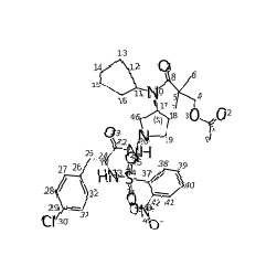 CC(=O)OCC(C)(C)C(=O)N(C1CCCCC1)[C@H]1CCN(NC(=O)[C@@H](Cc2ccc(Cl)cc2)NS(=O)(=O)c2ccccc2[N+](=O)[O-])C1